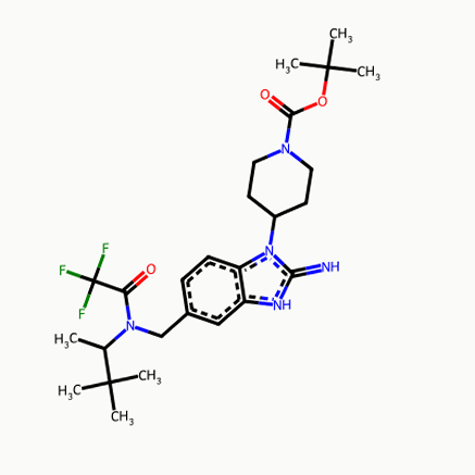 CC(N(Cc1ccc2c(c1)[nH]c(=N)n2C1CCN(C(=O)OC(C)(C)C)CC1)C(=O)C(F)(F)F)C(C)(C)C